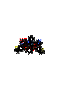 O=C(O)C(c1ccccc1)(N(Cc1cccnc1)S(=O)(=O)Cc1ccc2sccc2c1)C(C(=O)NO)(c1ccccc1)N(Cc1cccnc1)S(=O)(=O)Cc1ccc2sccc2c1